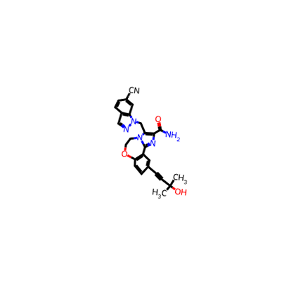 CC(C)(O)C#Cc1ccc2c(c1)-c1nc(C(N)=O)c(Cn3ncc4ccc(C#N)cc43)n1CCO2